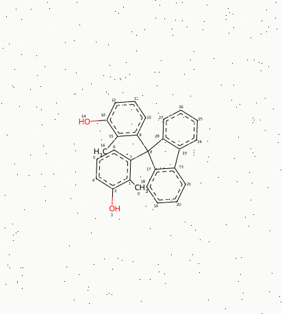 Cc1c(O)cccc1C1(c2cccc(O)c2C)c2ccccc2-c2ccccc21